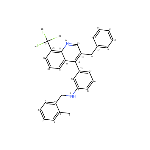 Cc1ccccc1CNc1cccc(-c2c(Cc3ccccc3)cnc3c(C(F)(F)F)cccc23)c1